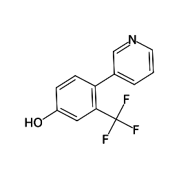 Oc1ccc(-c2cccnc2)c(C(F)(F)F)c1